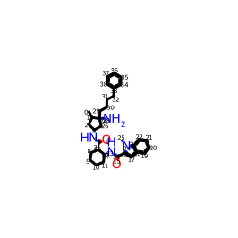 CC1CC(NC(=O)[C@@H]2CCCC[C@@H]2NC(=O)c2cc3ccccc3n2C)CC1(N)CCCCc1ccccc1